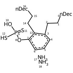 CCCCCCCCCCCCc1cccc(OP(O)(=S)S)c1CCCCCCCCCCCC.N.N